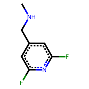 CNCc1cc(F)nc(F)c1